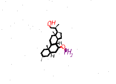 C[C@@H]1CC[C@]2(C)C3CC[C@@]4(C)C(CC[C@@H]4[C@H](C)CO)[C@@H]3C(OP)C[C@@H]2C1